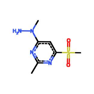 Cc1nc(N(C)N)cc(S(C)(=O)=O)n1